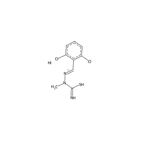 CN(/N=C/c1c(Cl)cccc1Cl)C(=N)S.I